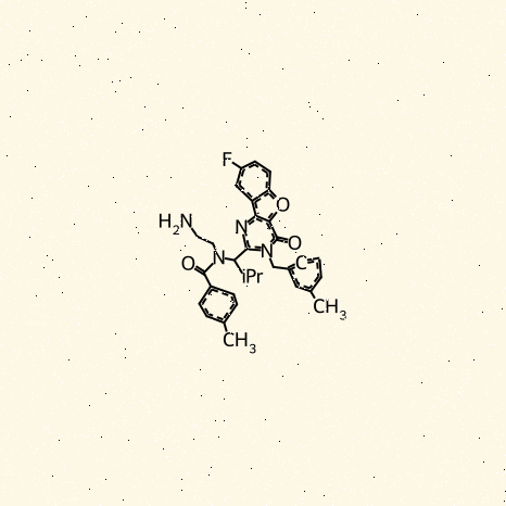 Cc1ccc(C(=O)N(CCN)C(c2nc3c(oc4ccc(F)cc43)c(=O)n2Cc2cccc(C)c2)C(C)C)cc1